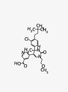 COCCN1C=C(c2cncc(C(=O)O)c2)[C@](C)(c2ccc(CCC(C)(C)C)c(Cl)c2)NC1=O